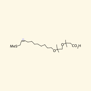 CSC/C=C\CCCCCCCCOC(C)(C)COC(C)(C)CC(=O)O